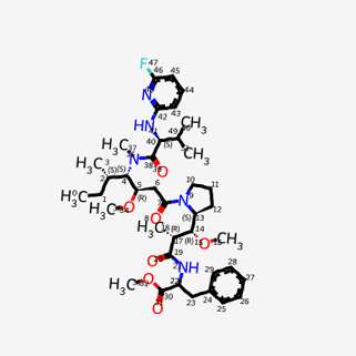 CC[C@H](C)[C@@H]([C@@H](CC(=O)N1CCC[C@H]1[C@H](OC)[C@@H](C)C(=O)NC(Cc1ccccc1)C(=O)OC)OC)N(C)C(=O)[C@@H](Nc1cccc(F)n1)C(C)C